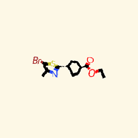 CCOC(=O)[C@H]1CC[C@H](c2nc(C)c(Br)s2)CC1